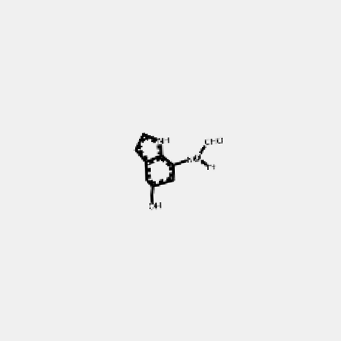 CCOC=O.O=[N+]([O-])c1cc(O)cc2cc[nH]c12